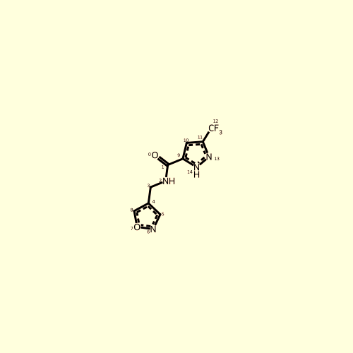 O=C(NCc1cnoc1)c1cc(C(F)(F)F)n[nH]1